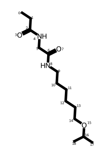 CCC(=O)NCC(=O)NCCCCCCOC(C)C